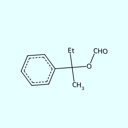 CCC(C)(OC=O)c1ccccc1